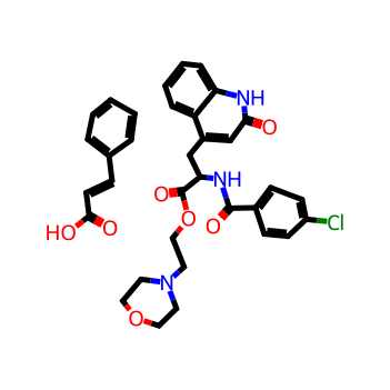 O=C(NC(Cc1cc(=O)[nH]c2ccccc12)C(=O)OCCN1CCOCC1)c1ccc(Cl)cc1.O=C(O)C=Cc1ccccc1